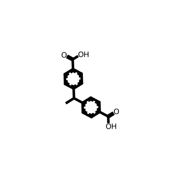 CC(c1ccc(C(=O)O)cc1)c1ccc(C(=O)O)cc1